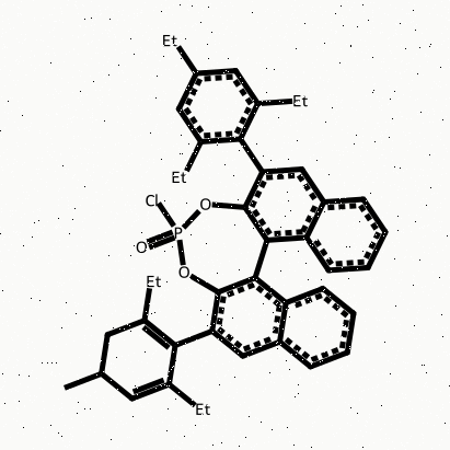 CCC1=CC(C)CC(CC)=C1c1cc2ccccc2c2c1OP(=O)(Cl)Oc1c(-c3c(CC)cc(CC)cc3CC)cc3ccccc3c1-2